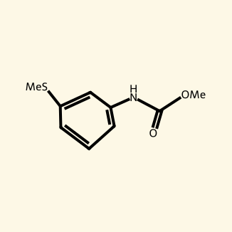 COC(=O)Nc1cccc(SC)c1